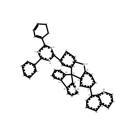 C1=CCCC(c2nc(-c3ccccc3)nc(-c3ccc4c(c3)C3(c5cc(-c6cccc7cccnc67)ccc5S4)c4ccccc4-c4ccccc43)n2)=C1